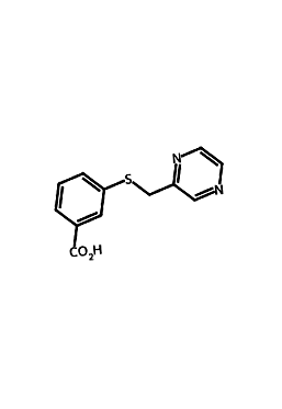 O=C(O)c1cccc(SCc2cnccn2)c1